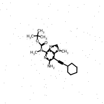 CN(C(=O)OC(C)(C)C)c1nc(N)c(C#CC2CCCCC2)c2c1ncn2C